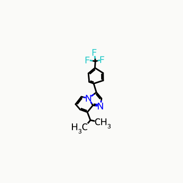 CC(C)c1cccn2c(-c3ccc(C(F)(F)F)cc3)cnc12